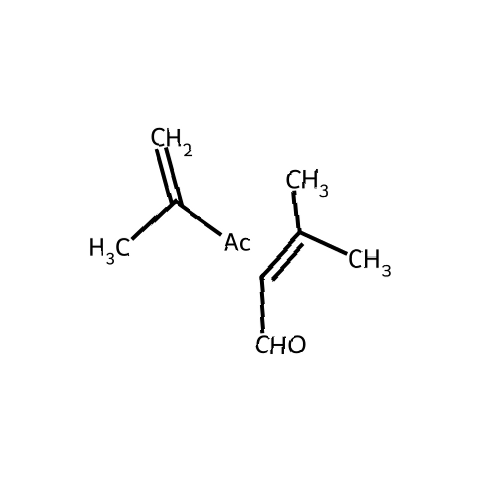 C=C(C)C(C)=O.CC(C)=CC=O